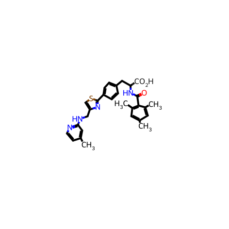 Cc1ccnc(NCc2csc(-c3ccc(CC(NC(=O)c4c(C)cc(C)cc4C)C(=O)O)cc3)n2)c1